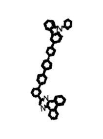 c1ccc(-n2c3ccccc3c3cc(-c4ccc(-c5ccc(-c6ccc(-c7cccc(-c8cnc9c%10ccccc%10c%10ccccc%10c9n8)c7)cc6)cc5)cc4)ccc32)cc1